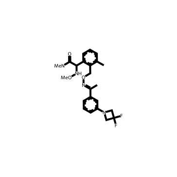 CNC(=O)C(NOC)c1cccc(C)c1CO/N=C(\C)c1cccc(N2CC(F)(F)C2)c1